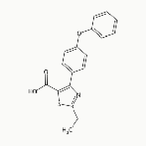 CCc1nc(-c2ccc(Oc3ccccc3)cc2)c(C(=O)O)s1